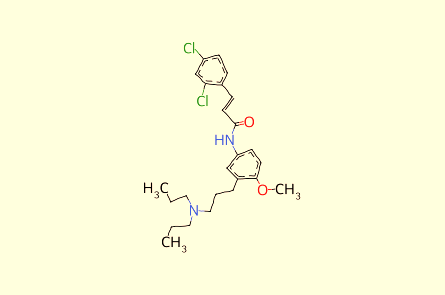 CCCN(CCC)CCCc1cc(NC(=O)C=Cc2ccc(Cl)cc2Cl)ccc1OC